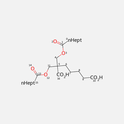 CCCCCCCC(=O)OCC(CCCCC(=O)O)(COC(=O)CCCCCCC)C(=O)O